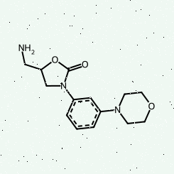 NCC1CN(c2cccc(N3CCOCC3)c2)C(=O)O1